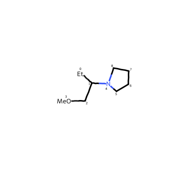 CCC(COC)N1CCCC1